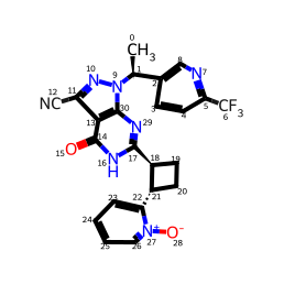 C[C@@H](c1ccc(C(F)(F)F)nc1)n1nc(C#N)c2c(=O)[nH]c([C@H]3CC[C@@H]3c3cccc[n+]3[O-])nc21